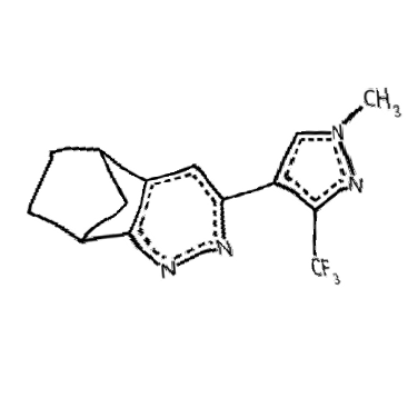 Cn1cc(-c2cc3c(nn2)C2CCC3C2)c(C(F)(F)F)n1